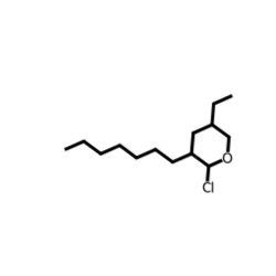 CCCCCCCC1CC(CC)COC1Cl